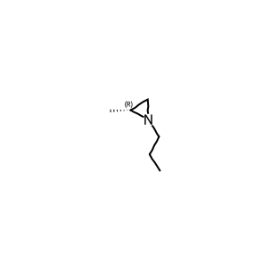 CCCN1C[C@H]1C